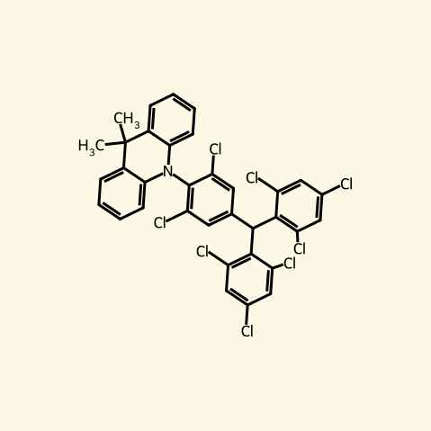 CC1(C)c2ccccc2N(c2c(Cl)cc(C(c3c(Cl)cc(Cl)cc3Cl)c3c(Cl)cc(Cl)cc3Cl)cc2Cl)c2ccccc21